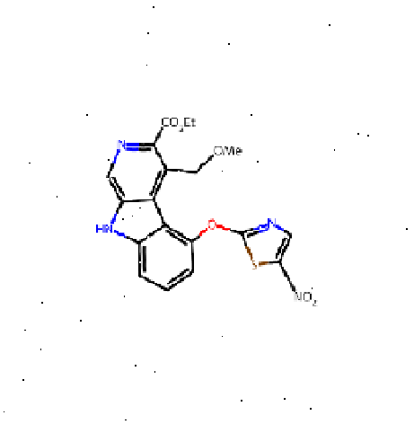 CCOC(=O)c1ncc2[nH]c3cccc(Oc4ncc([N+](=O)[O-])s4)c3c2c1COC